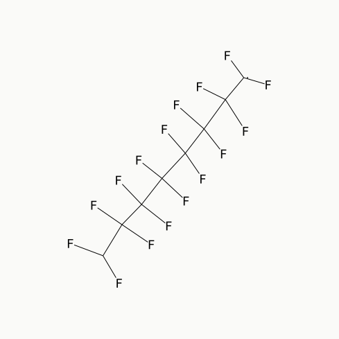 F[C](F)C(F)(F)C(F)(F)C(F)(F)C(F)(F)C(F)(F)C(F)(F)C(F)F